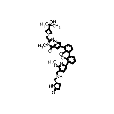 COc1nc(-c2cccc(-c3cccc(-c4cc5c(=O)n(C)c(CN6CC(C(C)(C)O)C6)nn5c4)c3Cl)c2Cl)ccc1CNC[C@H]1CCC(=O)N1